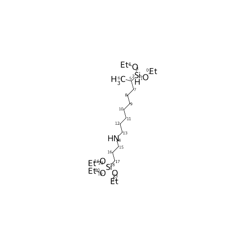 CCO[SiH](OCC)C(C)CCCCCCCNCCC[Si](OCC)(OCC)OCC